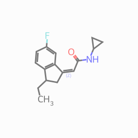 CCC1C/C(=C/C(=O)NC2CC2)c2cc(F)ccc21